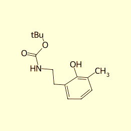 Cc1cccc(CCNC(=O)OC(C)(C)C)c1O